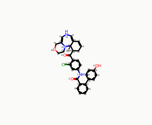 O=C(Nc1ccc(C(=O)C2CC=CC3=CNC=C4COCCN4[C@H]32)c(Cl)c1)c1ccccc1-c1ccc(O)cc1